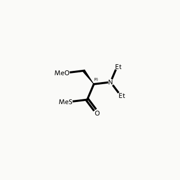 CCN(CC)[C@H](COC)C(=O)SC